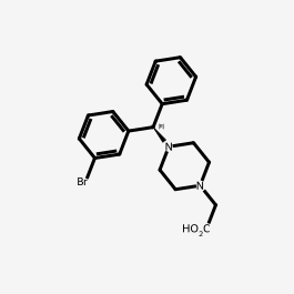 O=C(O)CN1CCN([C@H](c2ccccc2)c2cccc(Br)c2)CC1